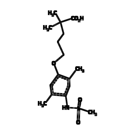 Cc1cc(OCCCC(C)(C)C(=O)O)c(C)cc1NS(C)(=O)=O